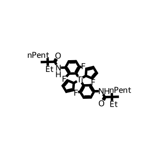 CCCCCC(C)(CC)C(=O)Nc1ccc(F)[c]([Ti]([c]2c(F)ccc(NC(=O)C(C)(CC)CCCCC)c2F)([CH]2C=CC=C2)[CH]2C=CC=C2)c1F